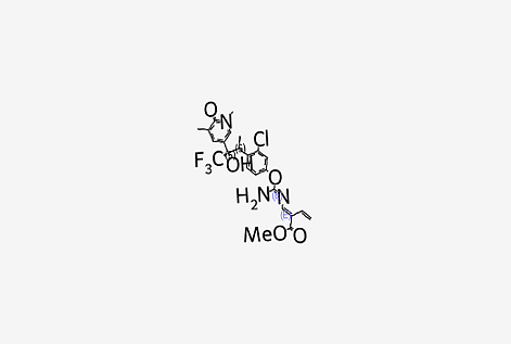 C=C/C(=C\N=C(/N)Oc1ccc([C@H](C)[C@](O)(c2cc(C)c(=O)n(C)c2)C(F)(F)F)c(Cl)c1)C(=O)OC